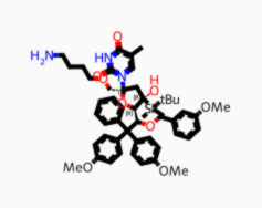 COc1ccc(C(c2ccccc2)(c2ccc(OC)cc2)C(OCc2cccc(OC)c2)[C@H]2O[C@@](COCCCCN)(n3cc(C)c(=O)[nH]c3=O)C[C@@]2(O)[Si](C)(C)C(C)(C)C)cc1